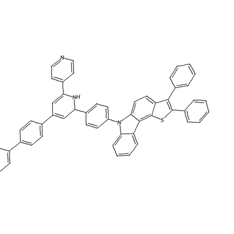 C1=C(c2ccc(-c3ccncc3)cc2)C=C(c2ccncc2)NC1c1ccc(-n2c3ccccc3c3c4sc(-c5ccccc5)c(-c5ccccc5)c4ccc32)cc1